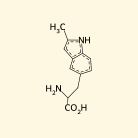 Cc1cc2cc(CC(N)C(=O)O)ccc2[nH]1